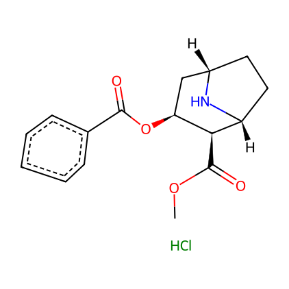 COC(=O)[C@H]1[C@@H](OC(=O)c2ccccc2)C[C@@H]2CC[C@H]1N2.Cl